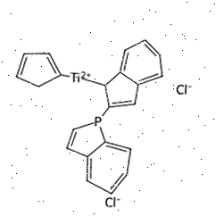 C1=CC[C]([Ti+2][CH]2C(p3ccc4ccccc43)=Cc3ccccc32)=C1.[Cl-].[Cl-]